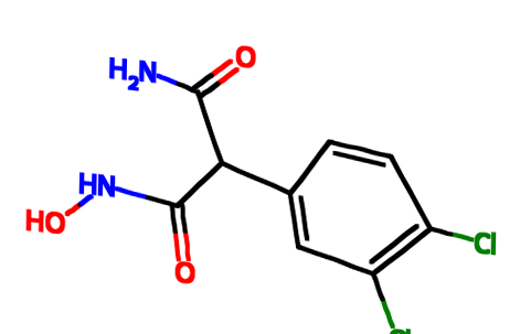 NC(=O)C(C(=O)NO)c1ccc(Cl)c(Cl)c1